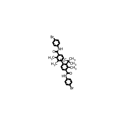 Cc1c(C(=O)Nc2ccc(Br)cc2)ccc(-c2ccc(C(=O)Nc3ccc(Br)cc3)c(C)c2C(C)(C)C)c1C